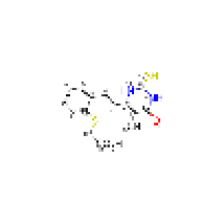 N#CC1=C(/C=C/c2ccccc2SCC(=O)O)NC(S)NC1=O